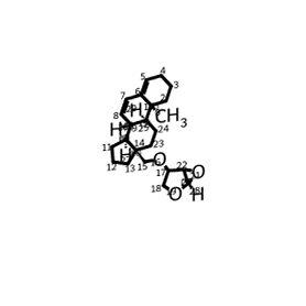 C[C@]12CCCC=C1C=C[C@H]1[C@@H]3CCC[C@@]3(COC3CO[C@H]4OC34)CC[C@@H]12